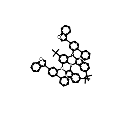 CC(C)(C)c1cc2c3c(c1)N(c1cc(-c4coc5ccccc45)ccc1-c1ccccc1)c1oc4ccc(C(C)(C)C)cc4c1B3c1c(oc3ccc(C(C)(C)C)cc13)N2c1cc(-c2coc3ccccc23)ccc1-c1ccccc1